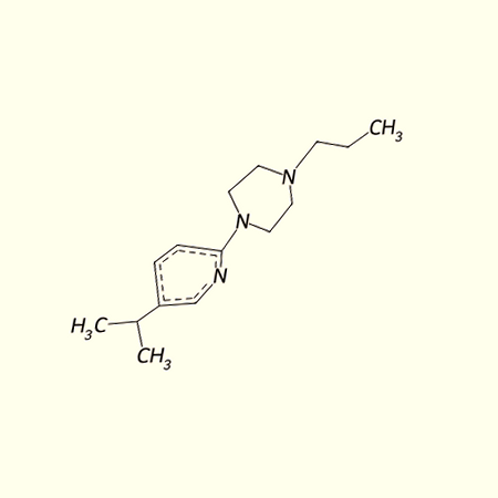 CCCN1CCN(c2ccc(C(C)C)cn2)CC1